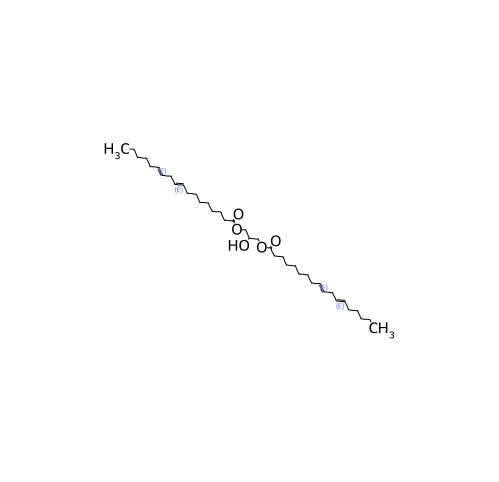 CCCCC/C=C/C/C=C/CCCCCCCC(=O)OCC(O)COC(=O)CCCCCCC/C=C/C/C=C/CCCCC